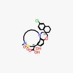 CN1CCCCCCCN2C[C@@]3(CCCc4cc(Cl)ccc43)COc3ccc(cc32)[C@@](O)(C(=O)O)CS1(=O)=O